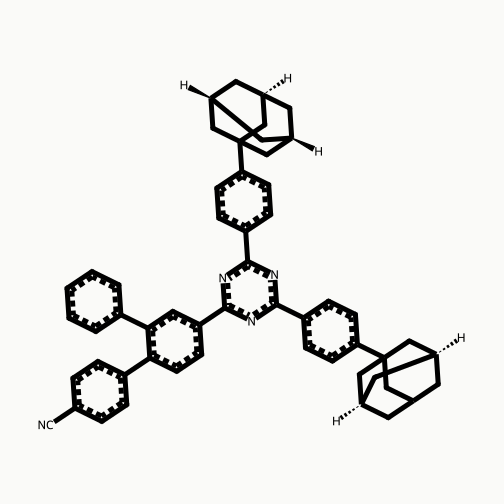 N#Cc1ccc(-c2ccc(-c3nc(-c4ccc(C56CC7C[C@H](C5)C[C@@H](C7)C6)cc4)nc(-c4ccc(C56C[C@H]7C[C@@H](C5)C[C@@H](C6)C7)cc4)n3)cc2-c2ccccc2)cc1